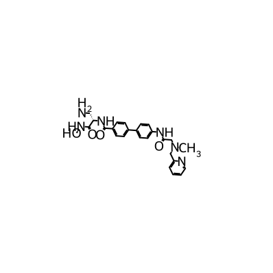 CN(CC(=O)Nc1ccc(-c2ccc(C(=O)N[C@@H](CN)C(=O)NO)cc2)cc1)Cc1ccccn1